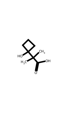 CC(C)(C(=O)O)C1(O)CCC1